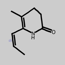 C/C=C\C1=C(C)CCC(=O)N1